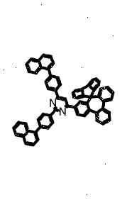 c1ccc2c(c1)-c1ccccc1C1(c3cc(-c4cc(-c5ccc(-c6cccc7ccccc67)cc5)nc(-c5ccc(-c6cccc7ccccc67)cc5)n4)ccc3-2)c2ccccc2-c2ccccc21